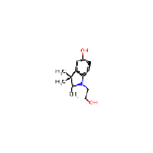 CC1N(CCO)c2ccc(O)cc2C1(C)C